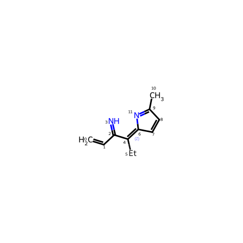 C=CC(=N)/C(CC)=C1/C=CC(C)=N1